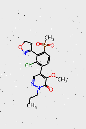 CCCn1ncc(-c2ccc(S(C)(=O)=O)c(C3=NOCC3)c2Cl)c(OC)c1=O